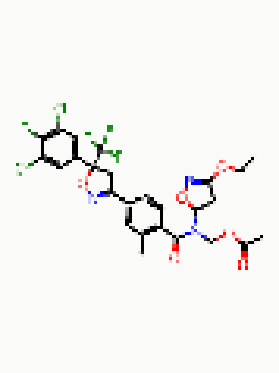 CCOC1=NOC(N(COC(C)=O)C(=O)c2ccc(C3=NO[C@@](c4cc(Cl)c(F)c(Cl)c4)(C(F)(F)F)C3)cc2C)C1